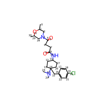 CC1CN(C(=O)CCC(=O)NC2CCC(Cc3ccc(Cl)cc3)(N(C)C)CC2)CC(C)O1